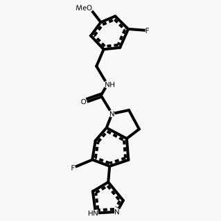 COc1cc(F)cc(CNC(=O)N2CCc3cc(-c4cn[nH]c4)c(F)cc32)c1